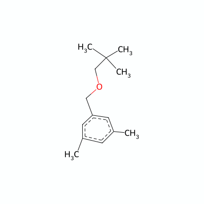 Cc1cc(C)cc(COCC(C)(C)C)c1